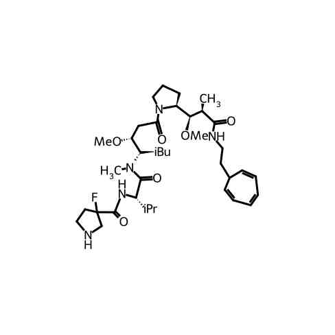 CC[C@H](C)[C@@H]([C@@H](CC(=O)N1CCC[C@H]1[C@H](OC)[C@@H](C)C(=O)NCCC1C=CC=CC=C1)OC)N(C)C(=O)[C@@H](NC(=O)C1(F)CCNC1)C(C)C